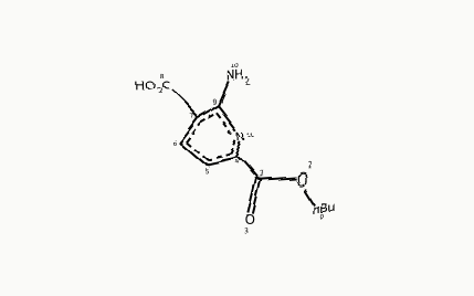 CCCCOC(=O)c1ccc(C(=O)O)c(N)n1